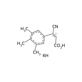 Cc1cc(/C(C#N)=C\C(=O)O)cc(C)c1C.[KH]